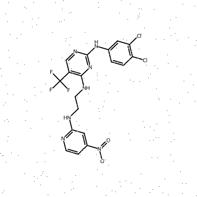 O=[N+]([O-])c1ccnc(NCCNc2nc(Nc3ccc(Cl)c(Cl)c3)ncc2C(F)(F)F)c1